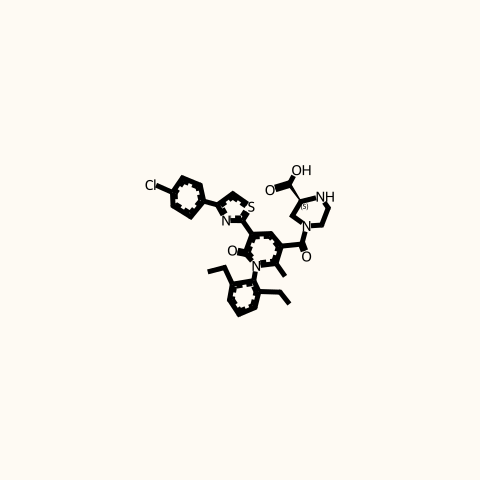 CCc1cccc(CC)c1-n1c(C)c(C(=O)N2CCN[C@H](C(=O)O)C2)cc(-c2nc(-c3ccc(Cl)cc3)cs2)c1=O